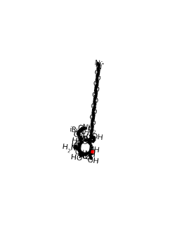 CCC(C)C(NC(=O)CN)C(=O)NCC(=O)N[C@H]1C[S+]([O-])c2[nH]c3c(CSCCOCCOCCOCCOCCOCCOCCOCCOCCOCCOCCOCCN=[N+]=[N-])c(O)ccc3c2CCNC(=O)C(C(C)[C@@H](O)CO)NC(=O)C2C[C@@H](O)CN2C(=O)C(CC(N)=O)NC1=O